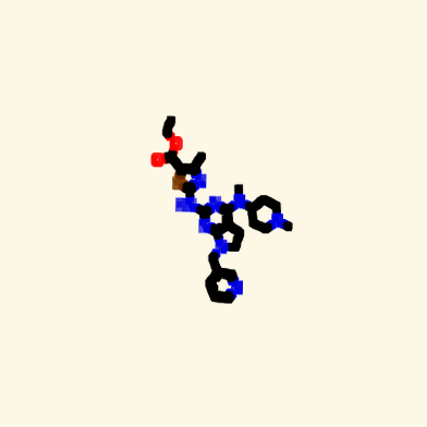 CCOC(=O)c1sc(Nc2nc3c(c(N(C)C4CCN(C)CC4)n2)CCN3Cc2cccnc2)nc1C